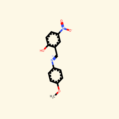 COc1ccc(/N=C/c2cc([N+](=O)[O-])ccc2O)cc1